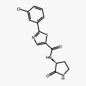 O=C(N[C@H]1CCNC1=O)c1cnc(-c2cccc(Cl)c2)s1